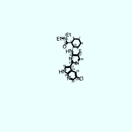 CCN(CC)C(=O)[C@H]1CCCC[C@@H]1Nc1nc(-c2c[nH]c3ncc(Cl)cc23)ncc1F